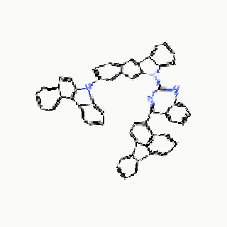 c1ccc2c(c1)-c1cccc3c(-c4nc(-n5c6ccccc6c6cc7ccc(-n8c9ccccc9c9c%10ccccc%10ccc98)cc7cc65)nc5ccccc45)ccc-2c13